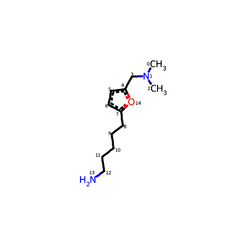 CN(C)Cc1ccc(CCCCCN)o1